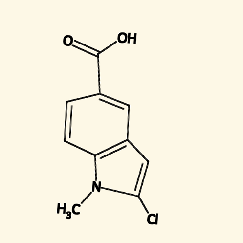 Cn1c(Cl)cc2cc(C(=O)O)ccc21